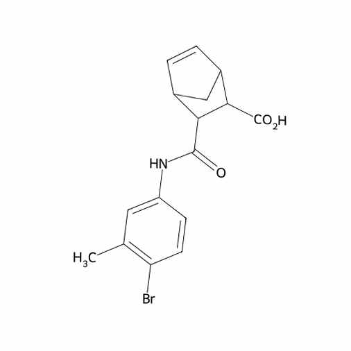 Cc1cc(NC(=O)C2C3C=CC(C3)C2C(=O)O)ccc1Br